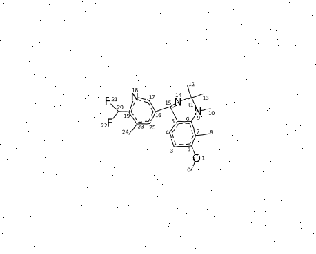 COc1ccc2c(c1C)N(C)C(C)(C)N=C2c1cnc(C(F)F)c(C)c1